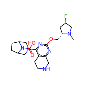 CN1C[C@H](F)C[C@H]1COc1nc2c(c(N3CC4CCC(C3)N4C(=O)O)n1)CCNC2